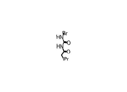 CC(C)CC(=O)NC(=O)NBr